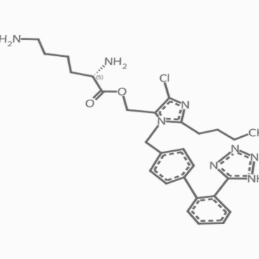 CCCCc1nc(Cl)c(COC(=O)[C@@H](N)CCCCN)n1Cc1ccc(-c2ccccc2-c2nnn[nH]2)cc1